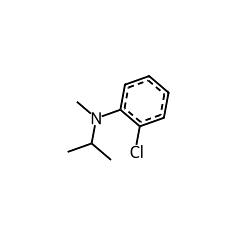 CC(C)N(C)c1ccccc1Cl